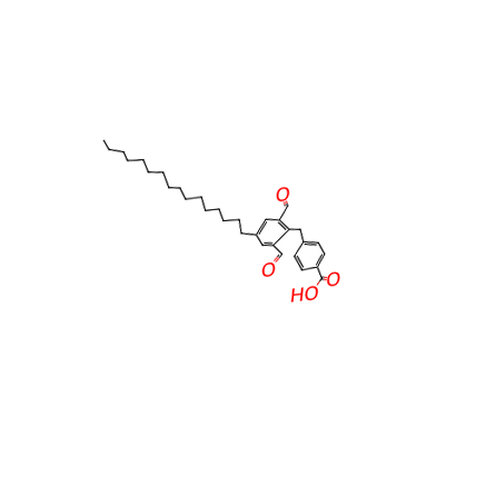 CCCCCCCCCCCCCCCCc1cc(C=O)c(Cc2ccc(C(=O)O)cc2)c(C=O)c1